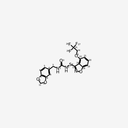 O=C(NCc1ccc2c(c1)OCO2)NSc1noc2cccc(OCC(F)(F)F)c12